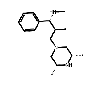 CN[C@@H](c1ccccc1)[C@@H](C)CN1C[C@@H](C)N[C@@H](C)C1